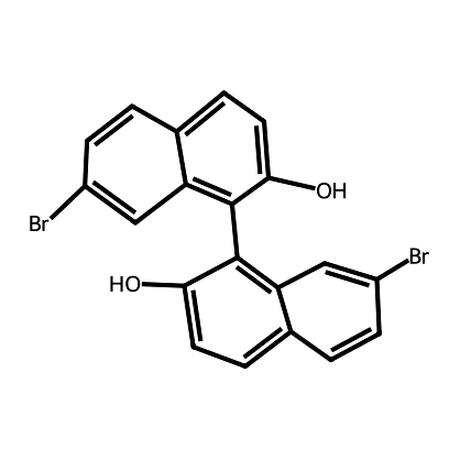 Oc1ccc2ccc(Br)cc2c1-c1c(O)ccc2ccc(Br)cc12